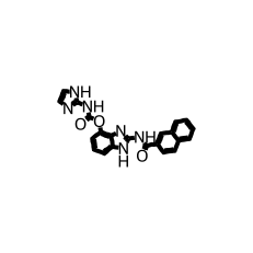 O=C(Nc1ncc[nH]1)Oc1cccc2[nH]c(NC(=O)c3ccc4ccccc4c3)nc12